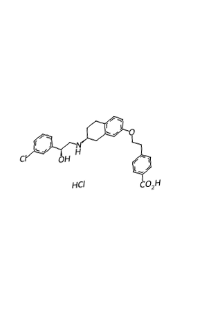 Cl.O=C(O)c1ccc(CCOc2ccc3c(c2)C[C@@H](NC[C@@H](O)c2cccc(Cl)c2)CC3)cc1